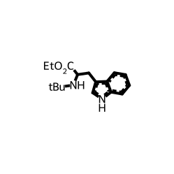 CCOC(=O)C(Cc1c[nH]c2ccccc12)NC(C)(C)C